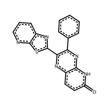 O=c1ccc2nc(-c3nc4cccnc4s3)c(-c3ccccc3)nc2[nH]1